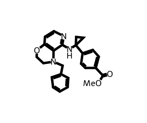 COC(=O)c1ccc(C2(Nc3nccc4c3N(Cc3ccccc3)CCO4)CC2)cc1